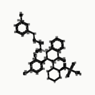 CS(=O)(=O)N[C@H]1CCCCC1N1C(=O)c2ccccc2[C@@H](C(=O)NOCc2ccc[n+]([O-])c2)[C@@H]1c1ccc(Cl)cc1Cl